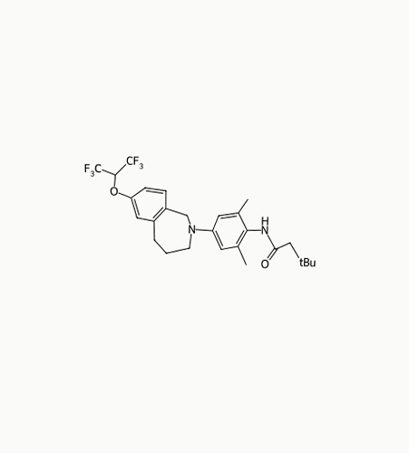 Cc1cc(N2CCCc3cc(OC(C(F)(F)F)C(F)(F)F)ccc3C2)cc(C)c1NC(=O)CC(C)(C)C